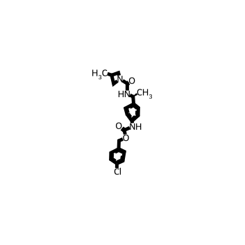 CC1CN(C(=O)N[C@@H](C)c2ccc(NC(=O)OCc3ccc(Cl)cc3)cc2)C1